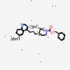 COc1ccc2nccc(CCC[C@@H]3CCN(C(=O)OCc4ccccc4)C[C@@H]3C=O)c2c1